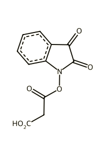 O=C(O)CC(=O)ON1C(=O)C(=O)c2ccccc21